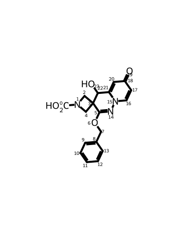 O=C(O)N1CC2(C1)C(OCc1ccccc1)=Nn1ccc(=O)cc1C2O